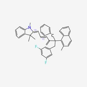 C=C(/C=C/C=C1/N(C)c2ccccc2C1(C)C)C(Cc1ccccc1)(Cc1cc(F)cc(F)c1)c1c(C)ccc2ccccc12